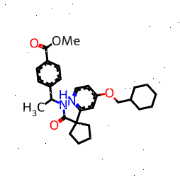 COC(=O)c1ccc(C(C)NC(=O)C2(c3cc(OCC4CCCCC4)ccn3)CCCC2)cc1